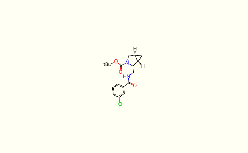 CC(C)(C)OC(=O)N1C[C@@H]2C[C@@H]2[C@H]1CNC(=O)c1cccc(Cl)c1